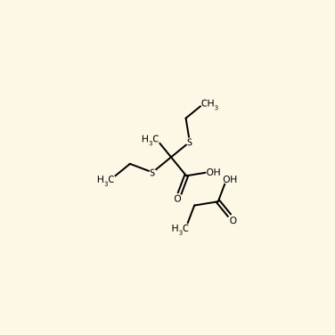 CCC(=O)O.CCSC(C)(SCC)C(=O)O